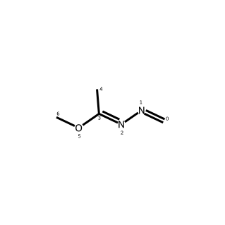 C=N/N=C(\C)OC